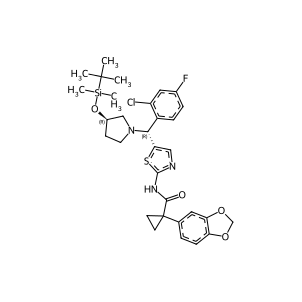 CC(C)(C)[Si](C)(C)O[C@@H]1CCN([C@@H](c2cnc(NC(=O)C3(c4ccc5c(c4)OCO5)CC3)s2)c2ccc(F)cc2Cl)C1